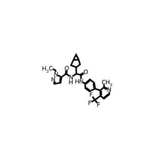 CCn1nccc1C(=O)NC(C(=O)Nc1ccc(-c2c(C(F)(F)F)ccnc2C)cc1)C1CC2CC2C1